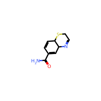 NC(=O)C1=CC2N=CCSC2C=C1